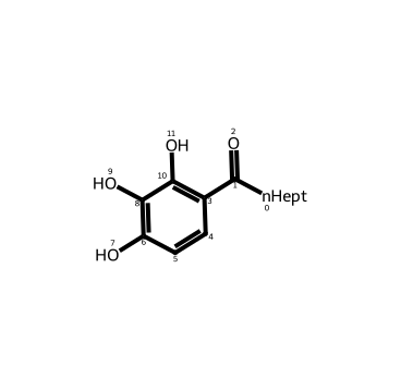 CCCCCCCC(=O)c1ccc(O)c(O)c1O